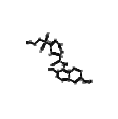 O=C(Nc1c(O)ccc2cc(S(=O)(=O)O)ccc12)c1cccc(S(=O)(=O)CCCl)c1